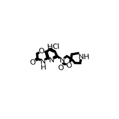 Cl.O=C1COc2ccc(N3CC4(CCNCC4)OC3=O)nc2N1